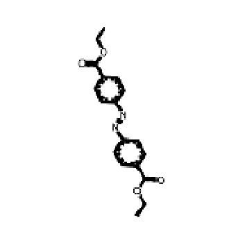 CCOC(=O)c1ccc(N=Nc2ccc(C(=O)OCC)cc2)cc1